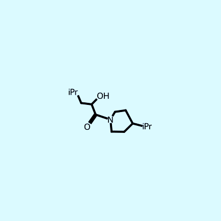 CC(C)CC(O)C(=O)N1CCC(C(C)C)CC1